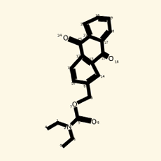 CCN(CC)C(=O)OCc1ccc2c(c1)C(=O)c1ccccc1C2=O